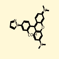 CN(C)c1ccc2c(-c3ccc(-n4cccn4)cc3C(=O)O)c3ccc(=[N+](C)C)cc-3oc2c1